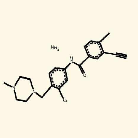 C#Cc1cc(C(=O)Nc2ccc(CN3CCN(C)CC3)c(Cl)c2)ccc1C.N